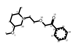 COC1CCC(C)N(CCOCC(=O)c2ccccc2)C1